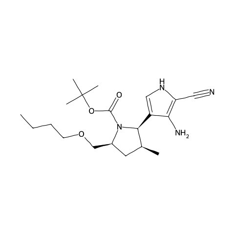 CCCCOC[C@@H]1C[C@H](C)[C@H](c2c[nH]c(C#N)c2N)N1C(=O)OC(C)(C)C